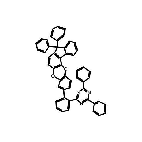 c1ccc(-c2nc(-c3ccccc3)nc(-c3ccccc3-c3ccc4c(c3)Oc3ccc5c(c3O4)-c3ccccc3C5(c3ccccc3)c3ccccc3)n2)cc1